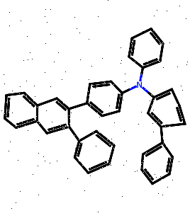 c1ccc(-c2cccc(N(c3ccccc3)c3ccc(-c4cc5ccccc5cc4-c4ccccc4)cc3)c2)cc1